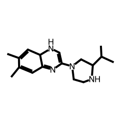 CC1=CC2=NC(N3CCNC(C(C)C)C3)=CNC2C=C1C